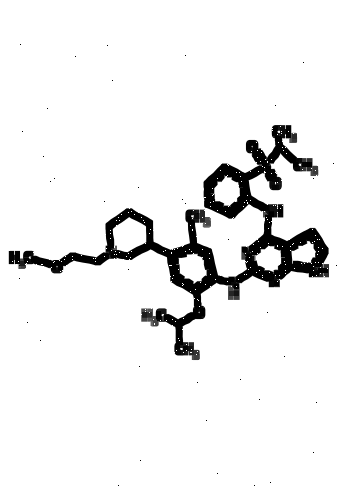 COCCN1CCCC(c2cc(OC(C)C)c(Nc3nc(Nc4ccccc4S(=O)(=O)C(C)C)c4cc[nH]c4n3)cc2C)C1